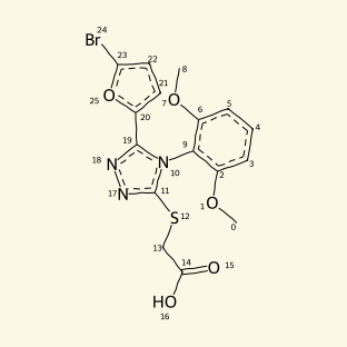 COc1cccc(OC)c1-n1c(SCC(=O)O)nnc1-c1ccc(Br)o1